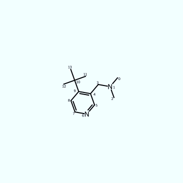 CN(C)Cc1cnccc1C(C)(C)C